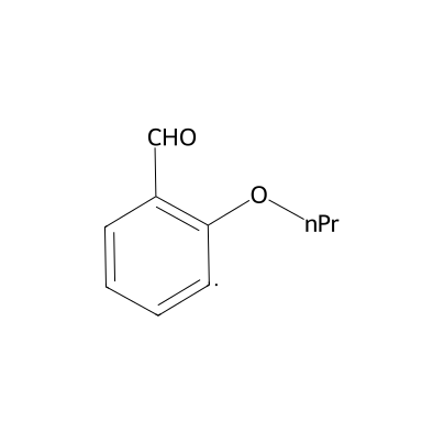 CCCOc1[c]cccc1C=O